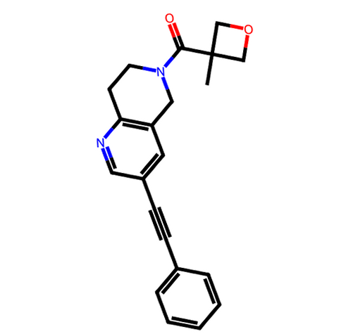 CC1(C(=O)N2CCc3ncc(C#Cc4ccccc4)cc3C2)COC1